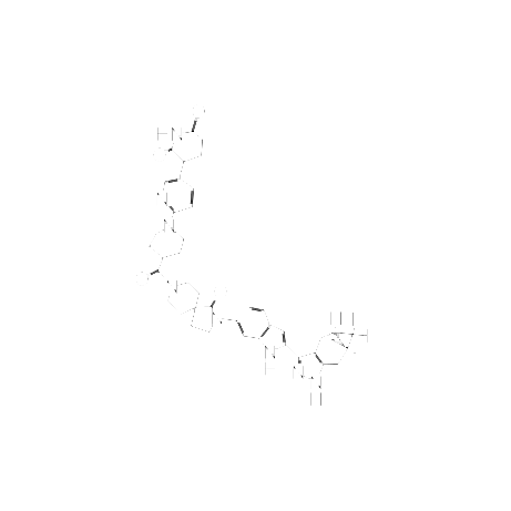 C[C@@]12Cc3[nH]nc(-c4cc5ccc(N6CCC7(CCN(C(=O)C8CCN(c9ccc(C%10CCC(=O)NC%10=O)cn9)CC8)CC7)C6=O)cc5[nH]4)c3C[C@@H]1C2(F)F